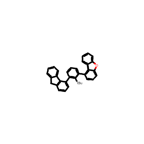 CC(C)(C)c1c(-c2cccc3c2-c2ccccc2C3)cccc1-c1cccc2oc3ccccc3c12